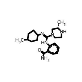 CC1CCC(/N=C(\Nc2ccccc2C(N)=O)N2CCN[C@@H](C)C2)CC1